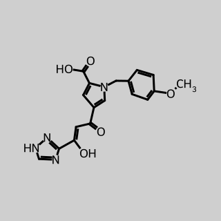 COc1ccc(Cn2cc(C(=O)C=C(O)c3nc[nH]n3)cc2C(=O)O)cc1